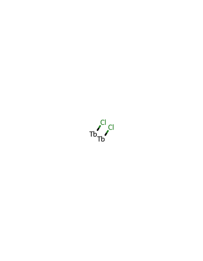 [Cl][Tb].[Cl][Tb]